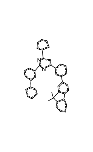 CC1(C)c2ccccc2-c2ccc(-c3cccc(-c4cc(-c5ccccc5)nc(-c5cccc(-c6ccccc6)c5)n4)c3)cc21